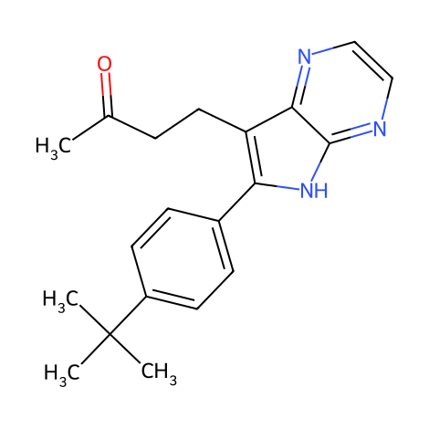 CC(=O)CCc1c(-c2ccc(C(C)(C)C)cc2)[nH]c2nccnc12